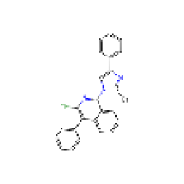 CCc1nc(-c2ccccc2)cn1-c1nc(Cl)c(-c2ccccc2)c2ccccc12